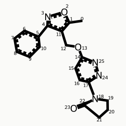 Cc1onc(-c2ccccc2)c1COc1ccc(N2CCCC2=O)nn1